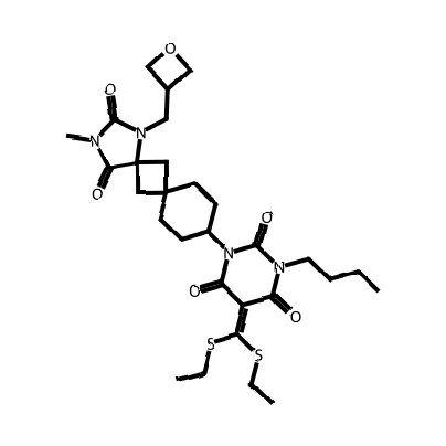 CCCCN1C(=O)C(=C(SCC)SCC)C(=O)N(C2CCC3(CC2)CC2(C3)C(=O)N(C)C(=O)N2CC2COC2)C1=O